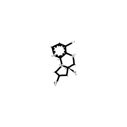 CCC1C[C@H]2COc3c(I)ccnc3N2C1